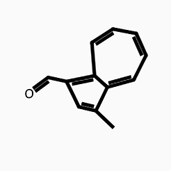 Cc1cc(C=O)c2cccccc1-2